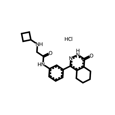 Cl.O=C(CNC1CCC1)Nc1cccc(-c2n[nH]c(=O)c3c2CCCC3)c1